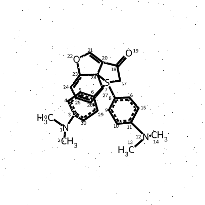 CN(C)c1ccc(S2(c3ccc(N(C)C)cc3)CC(=O)C3=COC4=CC=CCC432)cc1